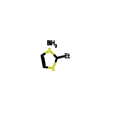 CCC1SC=CS1.[BiH3]